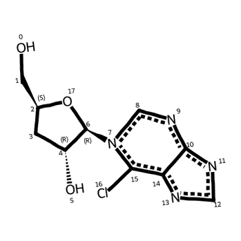 OC[C@@H]1C[C@@H](O)[C@H](n2cnc3ncnc-3c2Cl)O1